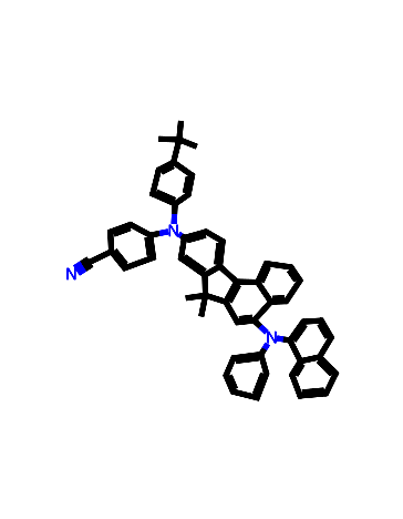 CC(C)(C)c1ccc(N(c2ccc(C#N)cc2)c2ccc3c(c2)C(C)(C)c2cc(N(c4ccccc4)c4cccc5ccccc45)c4ccccc4c2-3)cc1